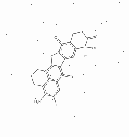 CC[C@@]1(O)C(=O)OCc2c1cc1n(c2=O)Cc2c-1c(=O)c1cc(F)c(N)c3c1n2CCC3